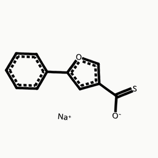 [Na+].[O-]C(=S)c1coc(-c2ccccc2)c1